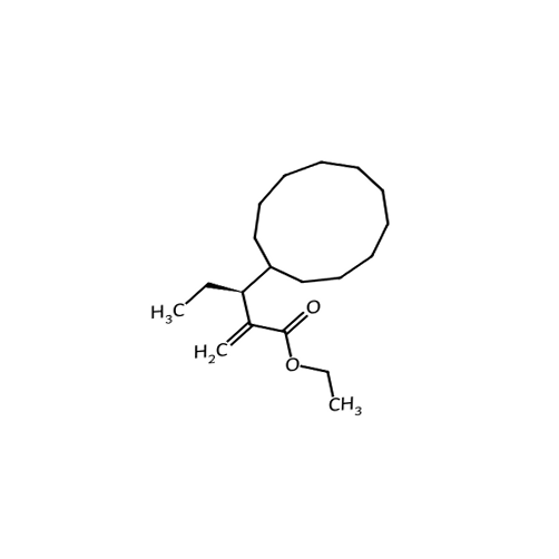 C=C(C(=O)OCC)[C@@H](CC)C1CCCCCCCCCC1